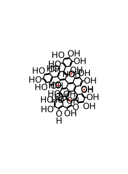 Oc1c(O)c(O)c(-c2c(O)c(-c3c(O)c(O)c(O)c(O)c3O)c(O)c(-c3c4c(O)c(O)c(O)c(O)c4c(-c4c(O)c(O)c(O)c5oc6c(O)c7c(O)c(O)c(O)c(O)c7c(O)c6c45)c4c(O)c(O)c(O)c(O)c34)c2O)c(O)c1O